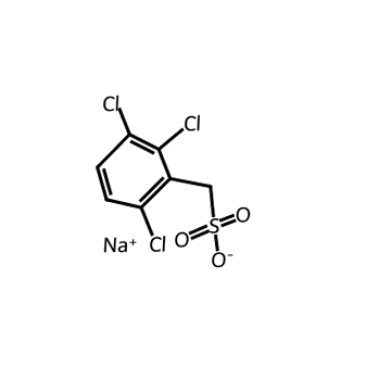 O=S(=O)([O-])Cc1c(Cl)ccc(Cl)c1Cl.[Na+]